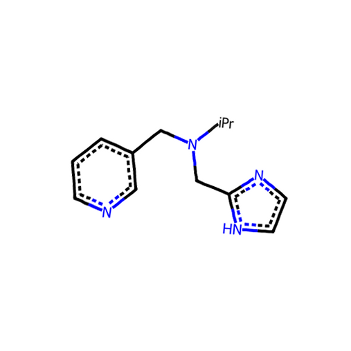 CC(C)N(Cc1cccnc1)Cc1ncc[nH]1